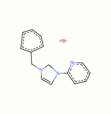 Br.C1=CN(c2ccccn2)CN1Cc1ccccc1